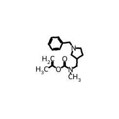 C=C(C)OC(=O)N(C)CC1CCN(Cc2ccccc2)C1